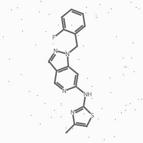 Cc1csc(Nc2cc3c(cn2)cnn3Cc2ccccc2F)n1